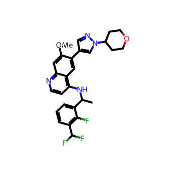 COc1cc2nccc(NC(C)c3cccc(C(F)F)c3F)c2cc1-c1cnn(C2CCOCC2)c1